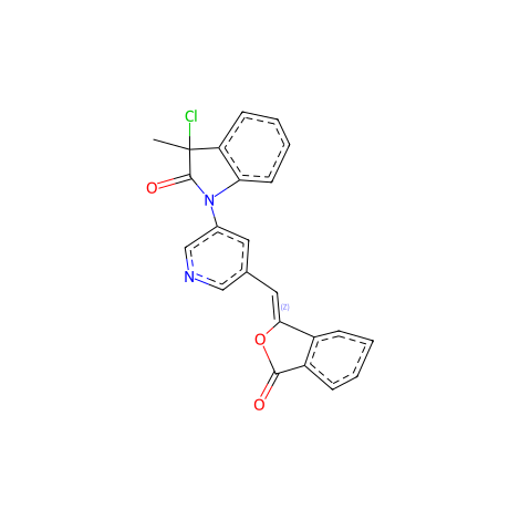 CC1(Cl)C(=O)N(c2cncc(/C=C3\OC(=O)c4ccccc43)c2)c2ccccc21